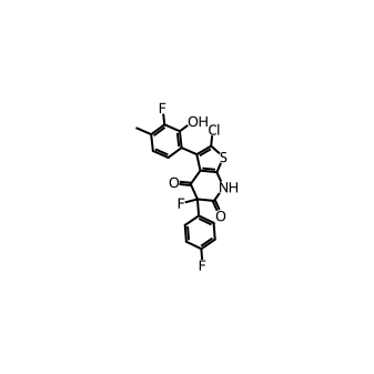 Cc1ccc(-c2c(Cl)sc3c2C(=O)C(F)(c2ccc(F)cc2)C(=O)N3)c(O)c1F